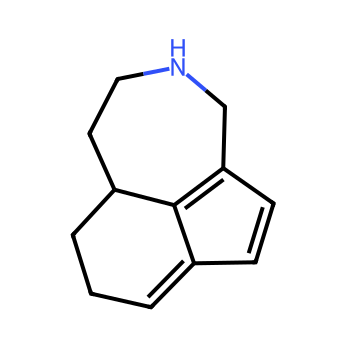 C1=CC2=C3C1=CCCC3CCNC2